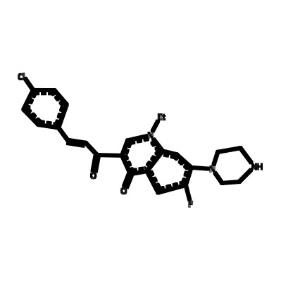 CCn1cc(C(=O)C=Cc2ccc(Cl)cc2)c(=O)c2cc(F)c(N3CCNCC3)cc21